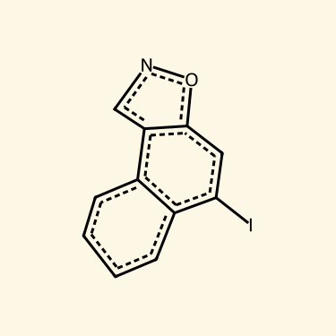 Ic1cc2oncc2c2ccccc12